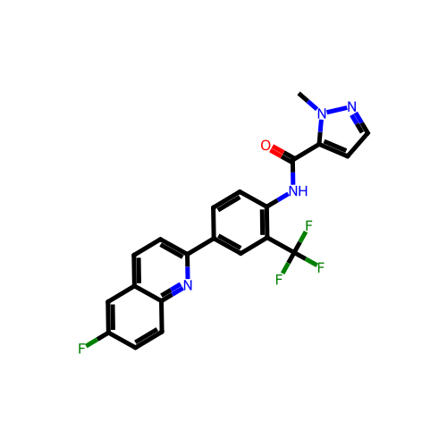 Cn1nccc1C(=O)Nc1ccc(-c2ccc3cc(F)ccc3n2)cc1C(F)(F)F